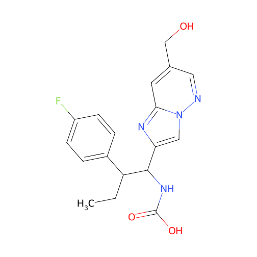 CCC(c1ccc(F)cc1)C(NC(=O)O)c1cn2ncc(CO)cc2n1